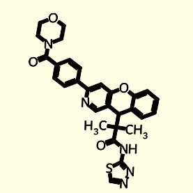 CC(C)(C(=O)Nc1nncs1)C1c2ccccc2Oc2cc(-c3ccc(C(=O)N4CCOCC4)cc3)ncc21